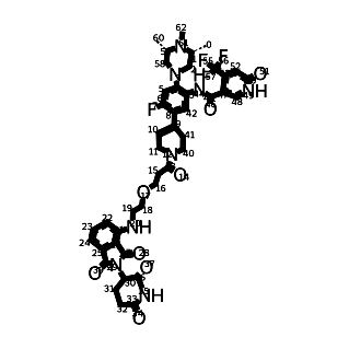 C[C@@H]1CN(c2cc(F)c(C3=CCN(C(=O)CCOCCNc4cccc5c4C(=O)N(C4CCC(=O)NC4=O)C5=O)CC3)cc2NC(=O)c2c[nH]c(=O)cc2C(F)(F)F)C[C@H](C)N1C